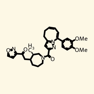 COc1ccc(/C2=C/C=C\CCc3cc(C(=O)N4CCCC(CC(=O)c5ccon5)[C@@H](C)C4)nn32)cc1OC